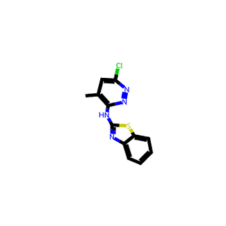 Cc1cc(Cl)nnc1Nc1nc2ccccc2s1